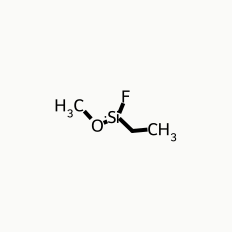 CC[Si](F)OC